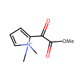 COC(=O)C(=O)C1=CC=C[N+]1(C)C